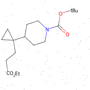 CCOC(=O)CCC1(C2CCN(C(=O)OC(C)(C)C)CC2)CC1